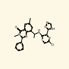 Cc1cc(C(C)Nc2ccc(Cl)nc2-c2nnc[nH]2)c2nc(-c3ccccc3)n(C)c(=O)c2c1